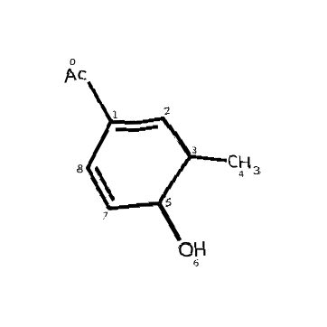 CC(=O)C1=CC(C)C(O)C=C1